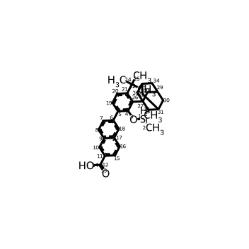 C[SiH](C)Oc1c(-c2ccc3cc(C(=O)O)ccc3c2)ccc(C(C)(C)C)c1C12CC3CC(CC(C3)C1)C2